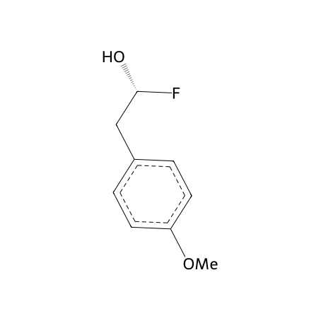 COc1ccc(C[C@H](O)F)cc1